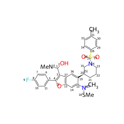 CNC(O)c1c(-c2ccc(F)cc2)oc2cc(N(C)SC)c([C@@H]3CCCN(S(=O)(=O)c4ccc(C)cc4)C3)cc12